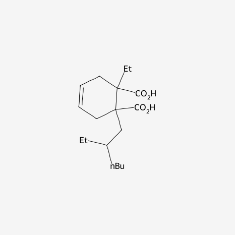 CCCCC(CC)CC1(C(=O)O)CC=CCC1(CC)C(=O)O